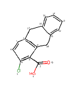 O=C(O)c1c(Cl)ccc2c1Cc1ccccc1C2